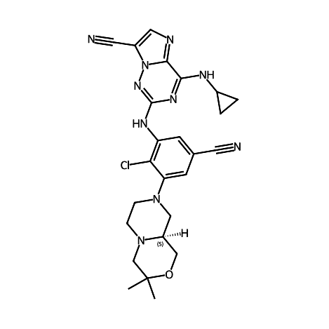 CC1(C)CN2CCN(c3cc(C#N)cc(Nc4nc(NC5CC5)c5ncc(C#N)n5n4)c3Cl)C[C@H]2CO1